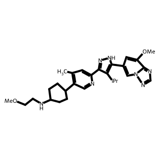 COCCNC1CCC(c2cnc(-c3n[nH]c(-c4cc(OC)c5ncnn5c4)c3C(C)C)cc2C)CC1